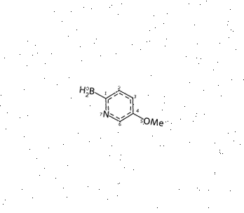 Bc1ccc(OC)cn1